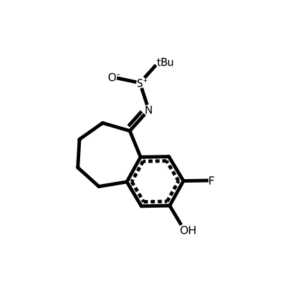 CC(C)(C)[S+]([O-])/N=C1\CCCCc2cc(O)c(F)cc21